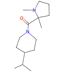 CC(C)C1CCN(C(=O)C2(C)CCCN2C)CC1